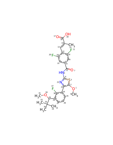 COc1sc(NC(=O)c2cc(F)c(C=C(C)C(=O)O)c(F)c2)nc1-c1cccc(C(OC)C(C)(C)C)c1F